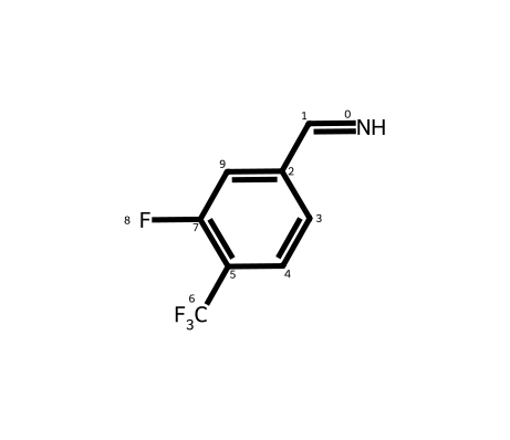 N=Cc1ccc(C(F)(F)F)c(F)c1